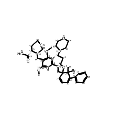 COc1nc(OCC2(OCCCN3CCOCC3)C=CC=C(c3ccccc3)C2(C)Br)nc(OC)c1CN1CCCC[C@H]1C(=O)O